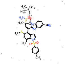 CSc1cc(C)c2c(ccn2S(=O)(=O)c2ccc(C)cc2)c1C(=CC(C)(C)[S+](N)[O-])c1nc2cc(C#N)ccc2n1COCC[Si](C)(C)C